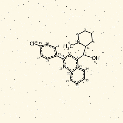 CN1CCCCC1C(O)c1cc(-c2ccc(Cl)cc2)nc2ccccc12